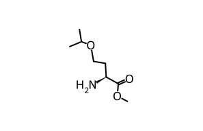 COC(=O)[C@@H](N)CCOC(C)C